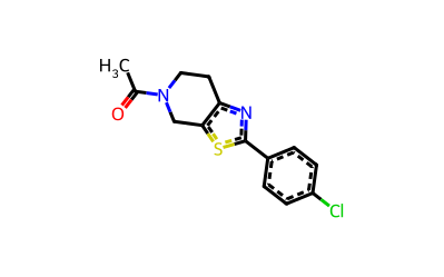 CC(=O)N1CCc2nc(-c3ccc(Cl)cc3)sc2C1